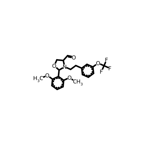 COc1cccc(OC)c1C1OCC(C=O)N1CCc1cccc(OC(F)(F)F)c1